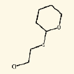 ClCCSC1CCCCO1